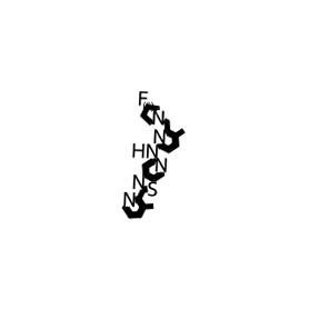 Cc1ccc(Nc2cc3nc(-c4ncccc4C)sc3cn2)nc1CN1CC[C@H](F)C1